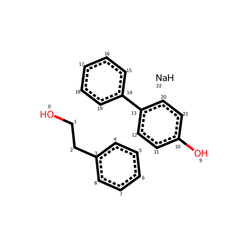 OCCc1ccccc1.Oc1ccc(-c2ccccc2)cc1.[NaH]